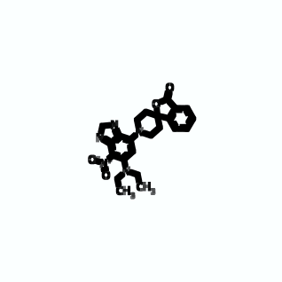 CCN(CC)c1cc(N2CCC3(CC2)OC(=O)c2ccccc23)c2c(c1[N+](=O)[O-])=NCN=2